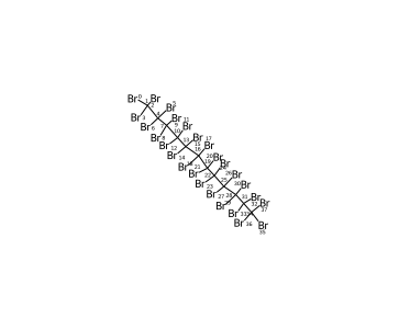 BrC(Br)(Br)C(Br)(Br)C(Br)(Br)C(Br)(Br)C(Br)(Br)C(Br)(Br)C(Br)(Br)C(Br)(Br)C(Br)(Br)C(Br)(Br)C(Br)(Br)C(Br)(Br)Br